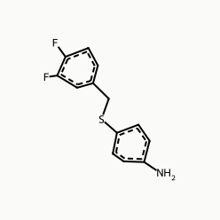 Nc1ccc(SCc2ccc(F)c(F)c2)cc1